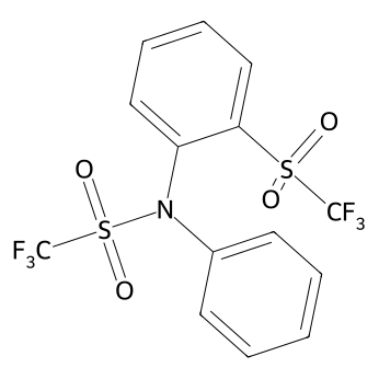 O=S(=O)(c1ccccc1N(c1ccccc1)S(=O)(=O)C(F)(F)F)C(F)(F)F